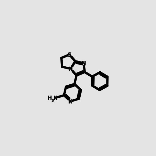 Nc1cc(-c2c(-c3ccccc3)nc3n2CCS3)ccn1